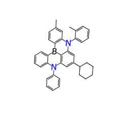 Cc1ccc2c(c1)N(c1ccccc1C)c1cc(C3CCCCC3)cc3c1B2c1ccccc1N3c1ccccc1